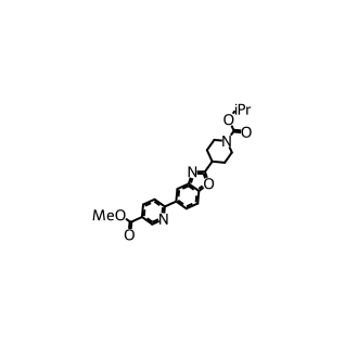 COC(=O)c1ccc(-c2ccc3oc(C4CCN(C(=O)OC(C)C)CC4)nc3c2)nc1